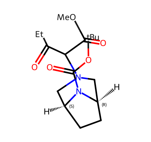 CCC(=O)C(C(=O)OC)N1C[C@H]2CC[C@@H](C1)N2C(=O)OC(C)(C)C